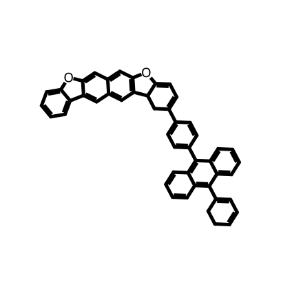 C1=CCCC(c2c3ccccc3c(-c3ccc(C4=CC=C5Oc6cc7cc8oc9ccccc9c8cc7cc6C5C4)cc3)c3ccccc23)=C1